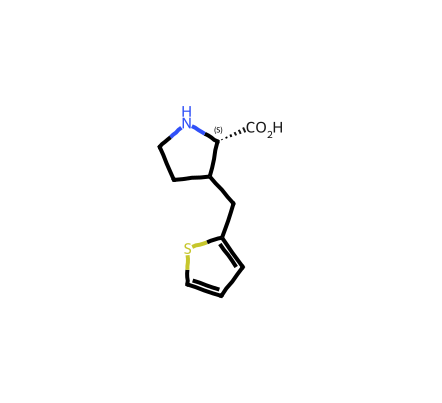 O=C(O)[C@H]1NCCC1Cc1cccs1